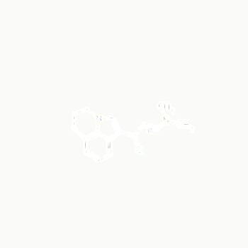 CN(C)/C=C/C(=O)c1cn2c3c(cccc13)CCC2